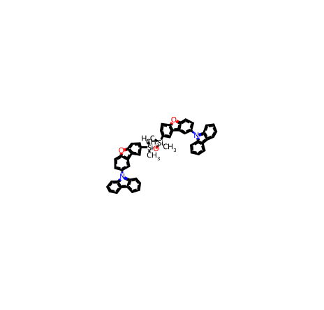 C[Si](C)(O[Si](C)(C)c1ccc2oc3ccc(-n4c5ccccc5c5ccccc54)cc3c2c1)c1ccc2oc3ccc(-n4c5ccccc5c5ccccc54)cc3c2c1